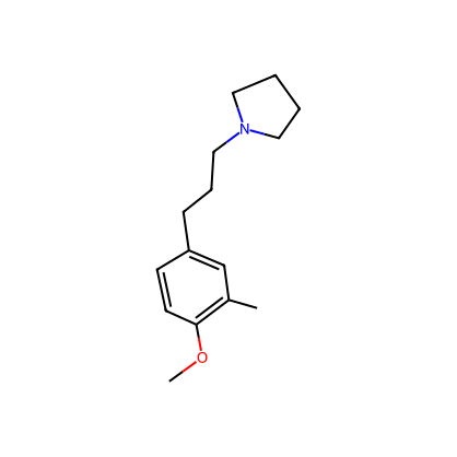 COc1ccc(CCCN2CCCC2)cc1C